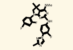 CNc1nc(Nc2ccc(-n3cnc(C)n3)c(F)c2)nc2c1C(C)(C)CN2c1ccc(F)cc1F